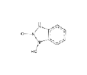 ON1c2ccccc2NN1Cl